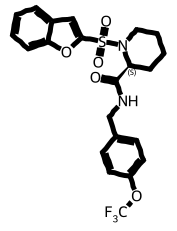 O=C(NCc1ccc(OC(F)(F)F)cc1)[C@@H]1CCCCN1S(=O)(=O)c1cc2ccccc2o1